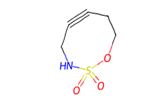 O=S1(=O)NCC#CCCO1